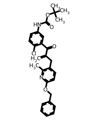 C=C(Cc1ccc(OCc2ccccc2)nc1C)C(=O)c1cc(NC(=O)OC(C)(C)C)ccc1Cl